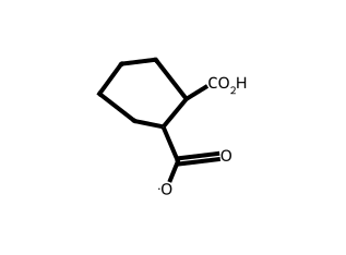 [O]C(=O)C1CCCCC1C(=O)O